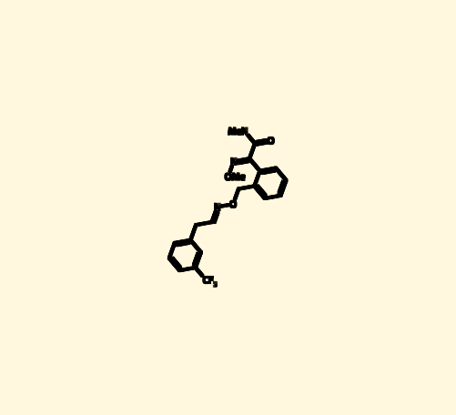 CNC(=O)/C(=N/OC)c1ccccc1CO/N=C/Cc1cccc(C(F)(F)F)c1